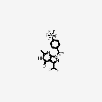 Cc1nc2c(c(C(F)F)nn2[C@H](C)c2ccc(S(F)(F)(F)(F)F)cc2)c(=O)[nH]1